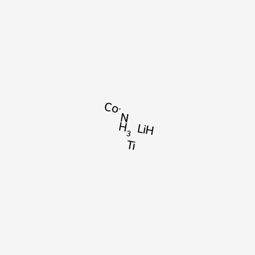 N.[Co].[LiH].[Ti]